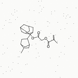 C=C(C)C(=O)OCC(=O)OC1(C2CC3CC2CC3C)C2CC3CC(C2)CC1C3